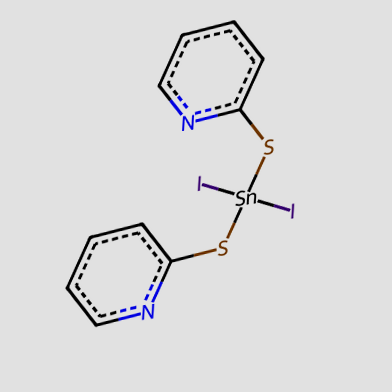 [I][Sn]([I])([S]c1ccccn1)[S]c1ccccn1